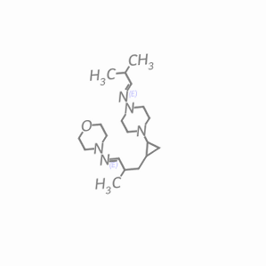 CC(C)/C=N/N1CCN(C2CC2CC(C)/C=N/N2CCOCC2)CC1